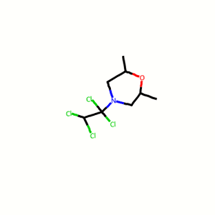 CC1CN(C(Cl)(Cl)C(Cl)Cl)CC(C)O1